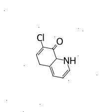 O=C1C(Cl)=CCC2=CC=CNC12